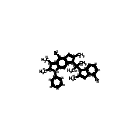 CC1=Cc2c(Br)c3c(cc2=C1C(C)(C)C1C(C)=Cc2c(Br)cccc21)N(c1ccccc1)C(C)C=3C